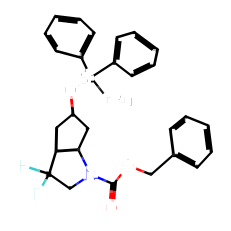 CC(C)(C)[Si](OC1CC2C(C1)C(F)(F)CN2C(=O)OCc1ccccc1)(c1ccccc1)c1ccccc1